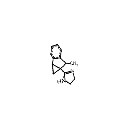 CC1c2ccccc2C2CC12C1=NCCN1